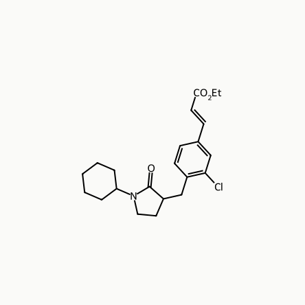 CCOC(=O)/C=C/c1ccc(CC2CCN(C3CCCCC3)C2=O)c(Cl)c1